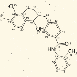 Cc1ccccc1NC(=O)c1ccc(CC2CCc3c(ccc(Cl)c3Cl)C2O)cc1